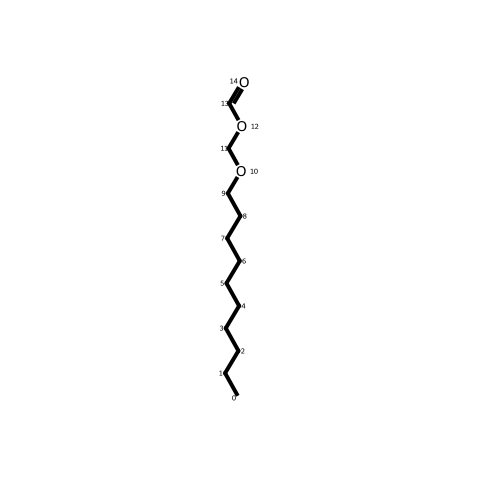 CCCCCCCCCCOCOC=O